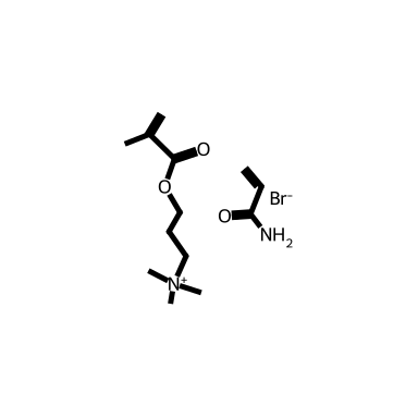 C=C(C)C(=O)OCCC[N+](C)(C)C.C=CC(N)=O.[Br-]